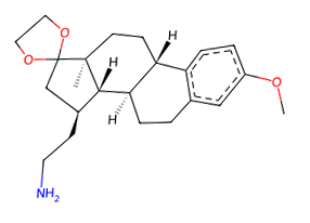 COc1ccc2c(c1)CC[C@H]1[C@@H]3[C@@H](CCN)CC4(OCCO4)[C@@]3(C)CC[C@H]21